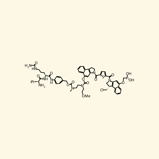 COCCN(CCN(C)C(=O)OCc1ccc(NC(=O)[C@H](CCCNC(N)=O)NC(=O)[C@@H](N)C(C)C)cc1)C(=O)Oc1cc2c(c3ccccc13)CCN2C(=O)c1ccc(C(=O)N2C[C@@H](CCl)c3c2cc(OCP(O)O)c2ccccc32)s1